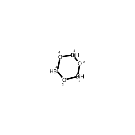 [O]1[BiH][O][BiH][O][BiH]1